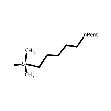 CCCCCCCCCC[Si](C)(C)I